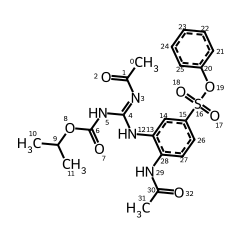 CC(=O)N=C(NC(=O)OC(C)C)Nc1cc(S(=O)(=O)Oc2ccccc2)ccc1NC(C)=O